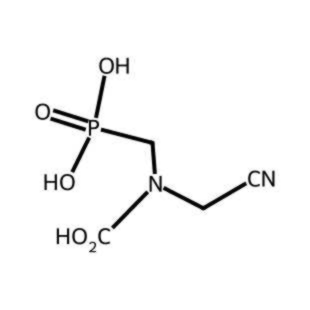 N#CCN(CP(=O)(O)O)C(=O)O